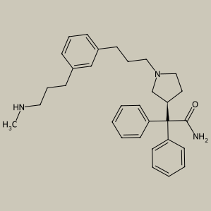 CNCCCc1cccc(CCCN2CC[C@@H](C(C(N)=O)(c3ccccc3)c3ccccc3)C2)c1